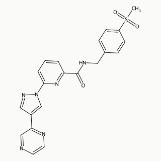 CS(=O)(=O)c1ccc(CNC(=O)c2cccc(-n3cc(-c4cnccn4)cn3)n2)cc1